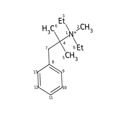 CC[N+](C)(CC)C(C)(C)Cc1ccccc1